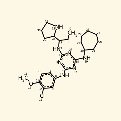 CCC(Nc1nc(Nc2ccc(OC)c(Cl)c2)nc(NC2CCCCCC2)n1)C1CCCN1